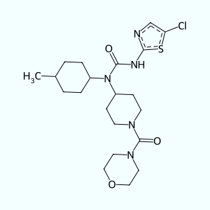 CC1CCC(N(C(=O)Nc2ncc(Cl)s2)C2CCN(C(=O)N3CCOCC3)CC2)CC1